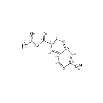 O=C(O)OC(=O)c1ccc2cc(O)ccc2c1